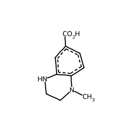 CN1CCNc2cc(C(=O)O)ccc21